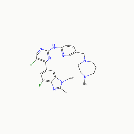 CCN1CCCN(Cc2ccc(Nc3ncc(F)c(-c4cc(F)c5nc(C)n(C(C)C)c5c4)n3)nc2)CC1